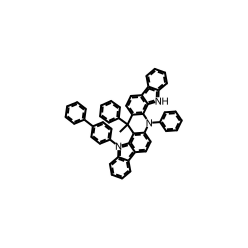 CC1(c2ccccc2)c2ccc3c([nH]c4ccccc43)c2N(c2ccccc2)c2ccc3c4ccccc4n(-c4ccc(-c5ccccc5)cc4)c3c21